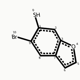 Sc1cc2occc2cc1Br